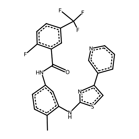 Cc1ccc(NC(=O)c2cc(C(F)(F)F)ccc2F)cc1Nc1nc(-c2cccnc2)cs1